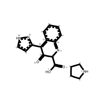 C1CCNC1.O=C(O)C1N=c2ccccc2=C(c2cc[nH]n2)C1=O